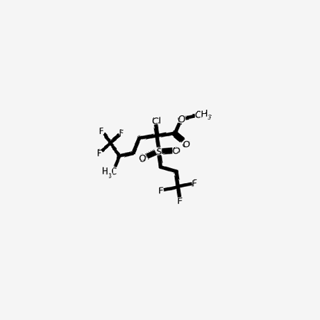 COC(=O)C(Cl)(CCC(C)C(F)(F)F)S(=O)(=O)CCC(F)(F)F